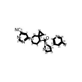 N#Cc1cc(N2CC[C@H](C(=O)N3N=CC[C@H]3c3cncc(F)c3)C3(CC3)C2)ncn1